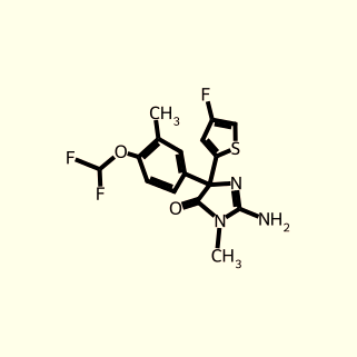 Cc1cc(C2(c3cc(F)cs3)N=C(N)N(C)C2=O)ccc1OC(F)F